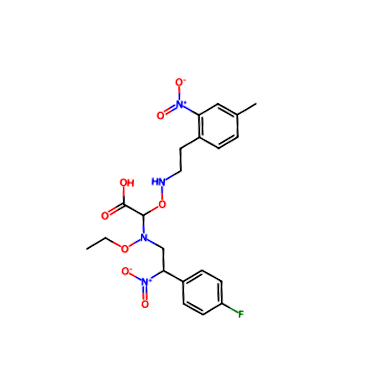 CCON(CC(c1ccc(F)cc1)[N+](=O)[O-])C(ONCCc1ccc(C)cc1[N+](=O)[O-])C(=O)O